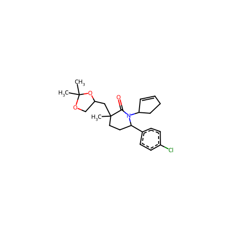 CC1(C)OCC(CC2(C)CCC(c3ccc(Cl)cc3)N(C3C=CCC3)C2=O)O1